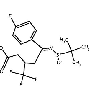 CC(C)(C)[S@@+]([O-])N=C(CC(CC(=O)O)C(F)(F)F)c1ccc(F)cc1